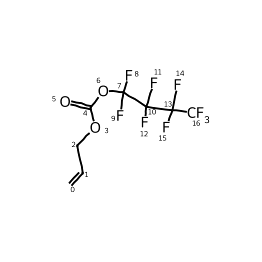 C=CCOC(=O)OC(F)(F)C(F)(F)C(F)(F)C(F)(F)F